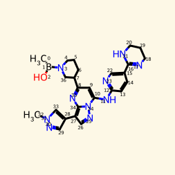 CB(O)N1CCCC(c2cc(Nc3ccc(C4=NCCCN4)cn3)n3ncc(-c4cnn(C)c4)c3n2)C1